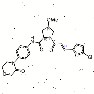 CO[C@@H]1C[C@H](C(=O)Nc2ccc(N3CCOCC3=O)cc2)N(C(=O)/C=C/c2ccc(Cl)o2)C1